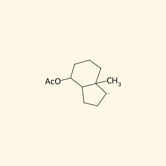 CC(=O)OC1CCCC2(C)[CH]CCC12